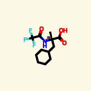 C[C@@](CC1CCCCC1)(NC(=O)C(F)(F)F)C(=O)O